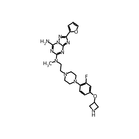 CN(CCN1CCN(c2ccc(OC3CNC3)cc2F)CC1)c1nc(N)n2nc(-c3ccco3)nc2n1